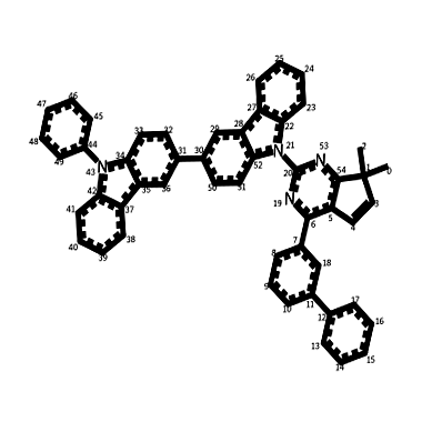 CC1(C)C=Cc2c(-c3cccc(-c4ccccc4)c3)nc(-n3c4ccccc4c4cc(-c5ccc6c(c5)c5ccccc5n6-c5ccccc5)ccc43)nc21